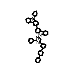 c1ccc(-c2ccc(-c3cccc(-c4cc(-n5c6ccccc6c6cc(-c7ccc8c(c7)c7ccccc7n8-c7ccccc7)ccc65)nc(-c5ccccc5)n4)c3)cc2)cc1